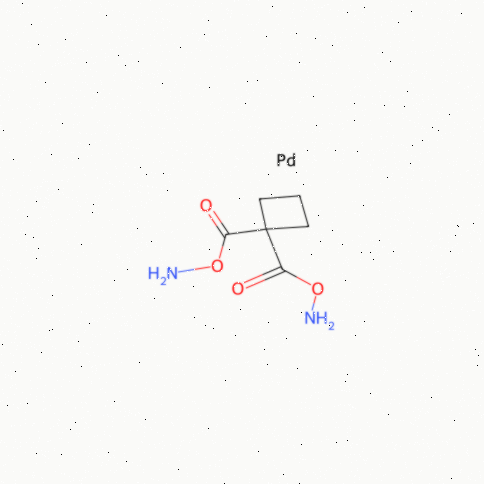 NOC(=O)C1(C(=O)ON)CCC1.[Pd]